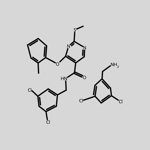 CSc1ncc(C(=O)NCc2cc(Cl)cc(Cl)c2)c(Oc2ccccc2C)n1.NCc1cc(Cl)cc(Cl)c1